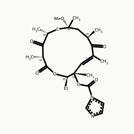 CC[C@H]1OC(=O)[C@H](C)C(=O)[C@H](C)C[C@](C)(OC)C[C@@H](C)C(=O)/C(C)=C/[C@]1(C)OC(=O)n1ccnc1